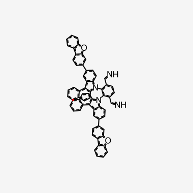 N=Cc1ccc(C=N)c(-n2c3ccc(-c4ccc5c(c4)oc4ccccc45)cc3c3c4ccccc4ccc32)c1-n1c2ccc(-c3ccc4c(c3)oc3ccccc34)cc2c2c3ccccc3ccc21